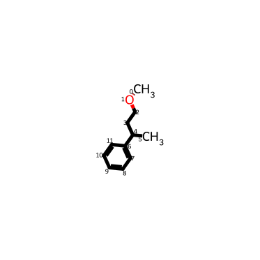 COCCC(C)c1ccccc1